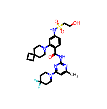 Cc1cc(N2CCC(F)(F)CC2)nc(NC(=O)c2ccc(NS(=O)(=O)CCO)cc2N2CCC3(CCC3)CC2)n1